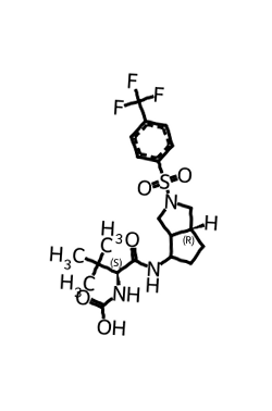 CC(C)(C)[C@H](NC(=O)O)C(=O)NC1CC[C@H]2CN(S(=O)(=O)c3ccc(C(F)(F)F)cc3)CC12